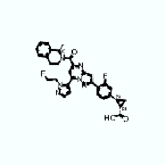 C[C@@H]1c2ccccc2CCN1C(=O)c1cc(-c2ccnn2CCF)n2nc(-c3ccc([C@H]4C[C@@H]4C(=O)O)cc3F)cc2n1